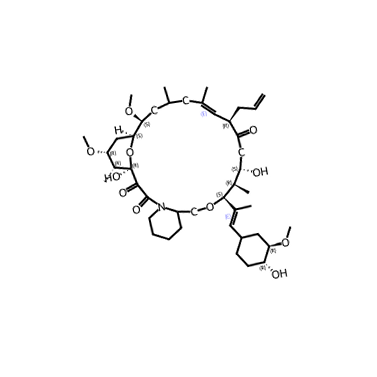 C=CC[C@@H]1/C=C(\C)CC(C)C[C@H](OC)[C@@H]2C[C@@H](OC)[C@@H](C)[C@@](O)(O2)C(=O)C(=O)N2CCCCC2CO[C@H](/C(C)=C/C2CC[C@@H](O)[C@H](OC)C2)[C@H](C)[C@@H](O)CC1=O